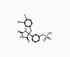 CCCS(=O)(=O)Oc1cccc(C2(Cc3ccc(F)c(Br)c3)NC(=S)NC2=O)c1